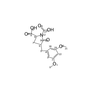 COc1cc(CC2CC(C(=O)O)N(C(=O)O)C2=O)cc(OC)c1